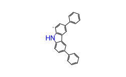 [c]1cc(-c2ccccc2)cc2c1[nH]c1ccc(-c3ccccc3)cc12